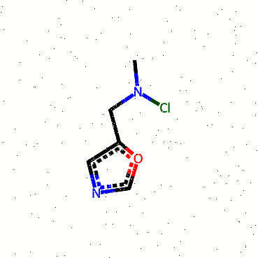 CN(Cl)Cc1cnco1